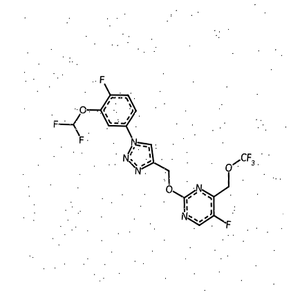 Fc1ccc(-n2cc(COc3ncc(F)c(COC(F)(F)F)n3)nn2)cc1OC(F)F